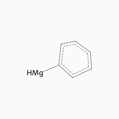 [MgH][c]1ccccc1